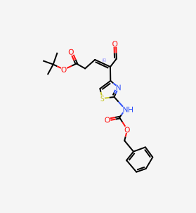 CC(C)(C)OC(=O)C/C=C(/C=O)c1csc(NC(=O)OCc2ccccc2)n1